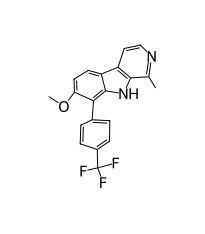 COc1ccc2c([nH]c3c(C)nccc32)c1-c1ccc(C(F)(F)F)cc1